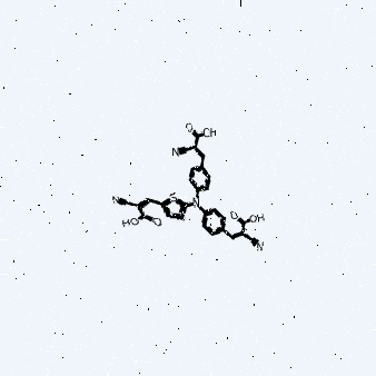 N#C/C(=C/c1ccc(N(c2ccc(/C=C(\C#N)C(=O)O)cc2)c2ccc(/C=C(/C#N)C(=O)O)s2)cc1)C(=O)O